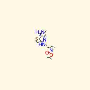 C=C(N)/C=c1/nc(NCCC2CCCN2C(=O)OC(=C)C)c2ccsc2/c1=C/C